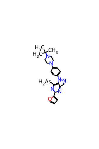 CC(C)(C)N1CCN(c2ccc(-n3ncc4nc(-c5ccco5)nc([AsH2])c43)cc2)CC1